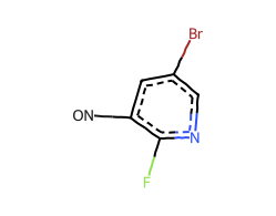 O=Nc1cc(Br)cnc1F